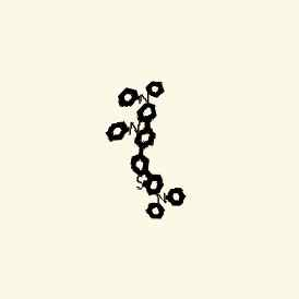 c1ccc(N(c2ccccc2)c2ccc3c(c2)sc2ccc(-c4ccc5c6ccc(N(c7ccccc7)c7ccccc7)cc6n(-c6ccccc6)c5c4)cc23)cc1